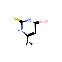 B=C1C=C(CCC)NC(=S)N1